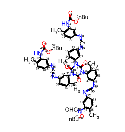 CCCCOC(=O)Nc1cc(N=C=Nc2ccc(C)c(-n3c(=O)n(-c4cc(N=C=Nc5ccc(C)c(NC(=O)OCCCC)c5)ccc4C)c(=O)n(-c4cc(N=C=Nc5ccc(C)c(N(C=O)OCCCC)c5)ccc4C)c3=O)c2)ccc1C